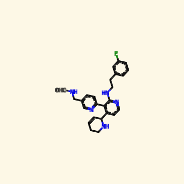 O=CNCc1ccc(-c2c(C3C=CCCN3)ccnc2NCCc2cccc(F)c2)nc1